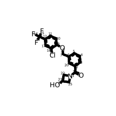 O=C(c1cccc(COc2ccc(C(F)(F)F)cc2Cl)c1)N1CC(O)C1